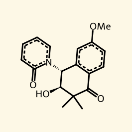 COc1ccc2c(c1)[C@@H](n1ccccc1=O)[C@H](O)C(C)(C)C2=O